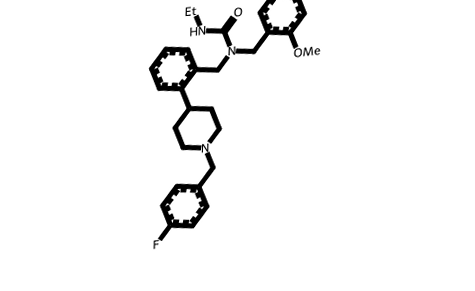 CCNC(=O)N(Cc1ccccc1OC)Cc1ccccc1C1CCN(Cc2ccc(F)cc2)CC1